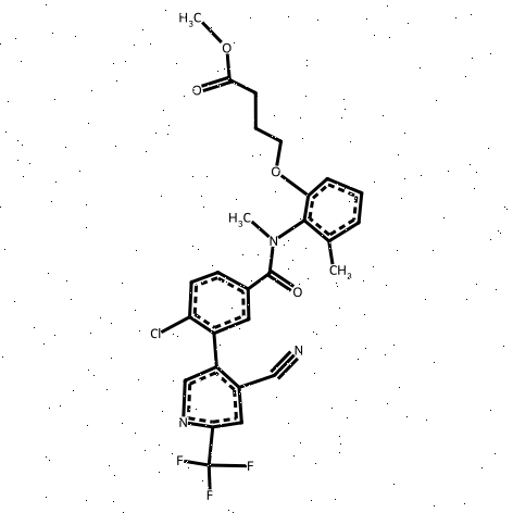 COC(=O)CCCOc1cccc(C)c1N(C)C(=O)c1ccc(Cl)c(-c2cnc(C(F)(F)F)cc2C#N)c1